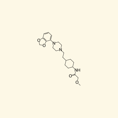 COCC(=O)NC1CCC(CCN2CCN(c3cccc4c3OCO4)CC2)CC1